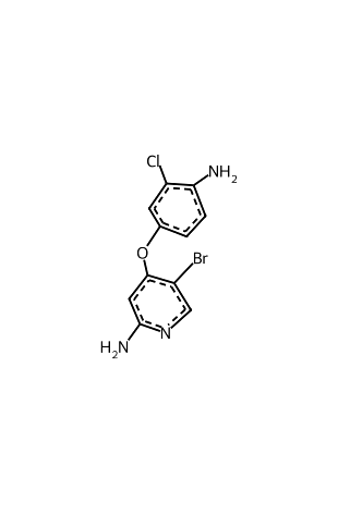 Nc1cc(Oc2ccc(N)c(Cl)c2)c(Br)cn1